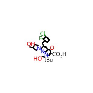 CC(C)(C)[C@@H](CO)n1cc(C(=O)O)c(=O)c2cc(Cc3cccc(Cl)c3F)c(N3CCC(CO)CC3)nc21